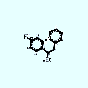 CCC(Cc1ccccn1)c1ccc(F)cc1